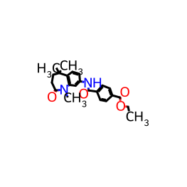 CCOC(=O)c1ccc(C(=O)Nc2ccc3c(c2)N(C)C(=O)CCC3(C)C)cc1